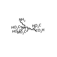 CC(CCCCN)(CN(CCN(CC(=O)O)CC(=O)O)CC(=O)O)N(CC(=O)O)CC(=O)O